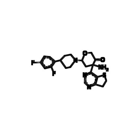 NC1(c2ncnc3c2SCC3)CC(N2CCC(c3ccc(F)cc3F)CC2)OCC1=O